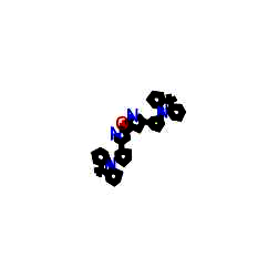 CC1(C)c2ccccc2N(c2cccc(-c3cnc4oc5ncc(-c6cccc(N7c8ccccc8C(C)(C)c8ccccc87)c6)cc5c4c3)c2)c2ccccc21